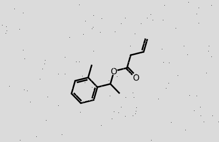 C=CCC(=O)OC(C)c1ccccc1C